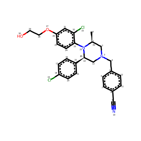 C[C@H]1CN(Cc2ccc(C#N)cc2)C[C@@H](c2ccc(Cl)cc2)N1c1ccc(OCCO)cc1Cl